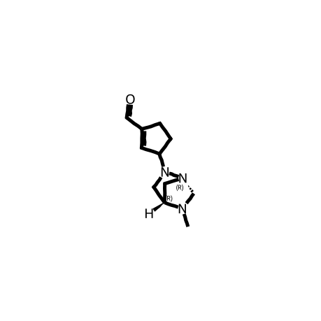 CN1C[N@]2C[C@H]1CN2C1C=C(C=O)CC1